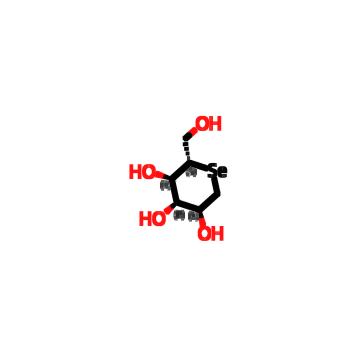 OC[C@@H]1[Se]C[C@@H](O)[C@@H](O)[C@H]1O